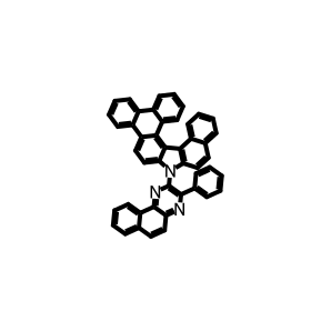 c1ccc(-c2nc3ccc4ccccc4c3nc2-n2c3ccc4ccccc4c3c3c4c5ccccc5c5ccccc5c4ccc32)cc1